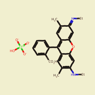 CC/N=c1\cc2oc3cc(NCC)c(C)cc3c(-c3ccccc3C(=O)O)c-2cc1C.[O-][Cl+3]([O-])([O-])O